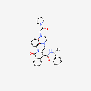 CC[C@H](NC(=O)c1c(CN2CCN(CC(=O)N3CCCC3)CC2)n(-c2ccccc2)c(=O)c2ccccc12)c1ccccc1